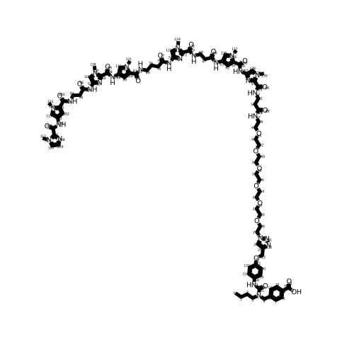 CCCCN(Cc1ccc(C(=O)O)cc1)C(=O)Nc1ccc(OCc2cn(CCOCCOCCOCCOCCOCCOCCNC(=O)CCNC(=O)c3nc(NC(=O)c4cc(NC(=O)CCNC(=O)c5nc(NC(=O)CCCNC(=O)c6cc(NC(=O)c7nc(NC(=O)CCNC(=O)c8cc(NC(=O)c9nccn9C)cn8C)cn7C)cn6C)cn5C)cn4C)cn3C)nn2)cc1